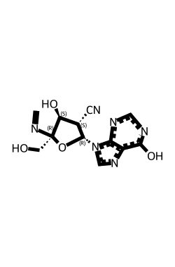 C=N[C@]1(CO)O[C@@H](n2cnc3c(O)ncnc32)[C@@H](C#N)[C@@H]1O